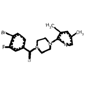 Cc1cnc(N2CCN(C(=O)c3ccc(Br)c(F)c3)CC2)c(C)c1